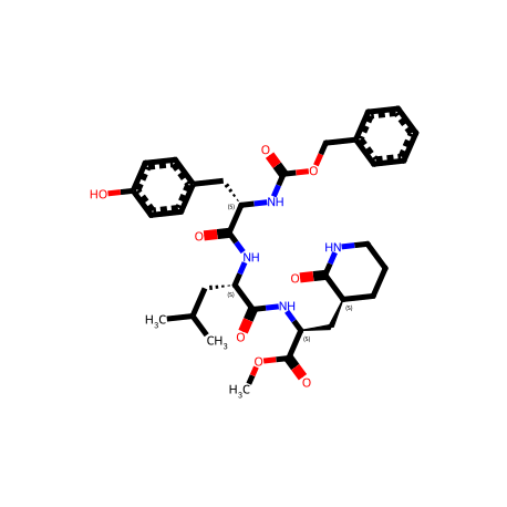 COC(=O)[C@H](C[C@@H]1CCCNC1=O)NC(=O)[C@H](CC(C)C)NC(=O)[C@H](Cc1ccc(O)cc1)NC(=O)OCc1ccccc1